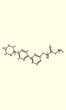 NCC(=O)NCc1cccc(-c2ccc(N3CCOCC3)cc2)c1